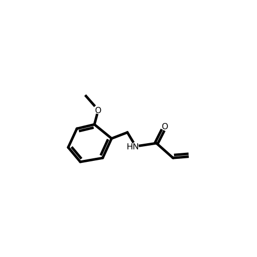 C=CC(=O)NCc1ccccc1OC